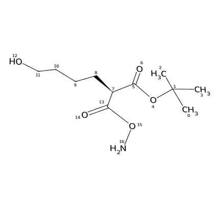 CC(C)(C)OC(=O)[C@H](CCCCO)C(=O)ON